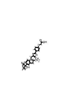 Cc1oc(-c2ccc(OCC(=O)O)cc2)nc1CN1c2ccc(C(O)(C(F)(F)F)C(F)(F)F)cc2CC1C